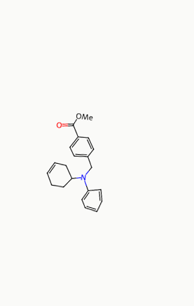 COC(=O)c1ccc(CN(c2ccccc2)C2CC=CCC2)cc1